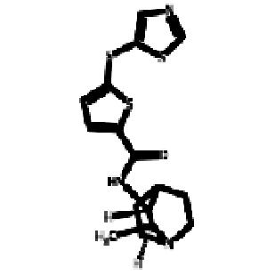 C[C@H]1[C@H](NC(=O)c2ccc(Sc3cncs3)s2)C2CCN1CC2